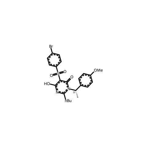 CCCCc1nc(O)c(S(=O)(=O)c2ccc(Br)cc2)c(=O)n1[C@@H](C)c1ccc(OC)cc1